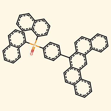 O=P(c1ccc(-c2c3ccc4ccccc4c3cc3c2ccc2ccccc23)cc1)(c1cccc2ccccc12)c1cccc2ccccc12